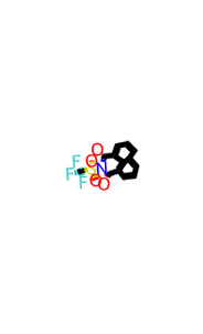 O=C1c2cccc3cccc(c23)C(=O)N1S(=O)(=O)C(F)(F)F